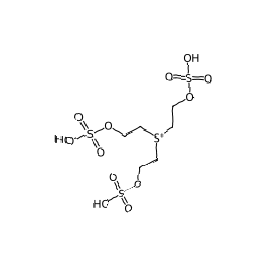 O=S(=O)(O)OCC[S+](CCOS(=O)(=O)O)CCOS(=O)(=O)O